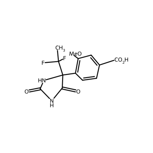 COc1cc(C(=O)O)ccc1C1(C(C)(F)F)NC(=O)NC1=O